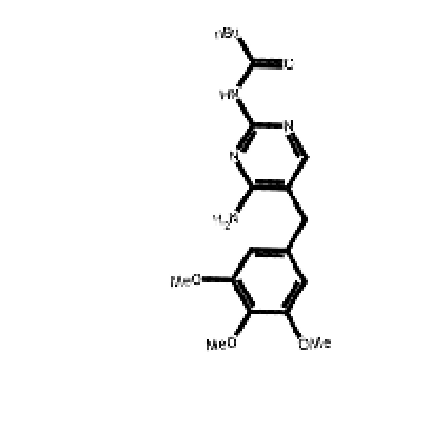 CCCCC(=O)Nc1ncc(Cc2cc(OC)c(OC)c(OC)c2)c(N)n1